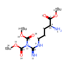 CC(C)(C)OC(=O)[C@@H](N)CCCNC(=N)N(C(=O)OC(C)(C)C)C(=O)OC(C)(C)C